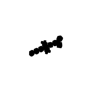 Cc1cc2c(-c3ccc(-c4ccc(-c5ccccc5)cc4)cc3)c3cc(C)c(C)cc3c(-c3ccc(-c4ccc5c(c4)c4ccccc4n5-c4ccccc4)cc3)c2cc1C